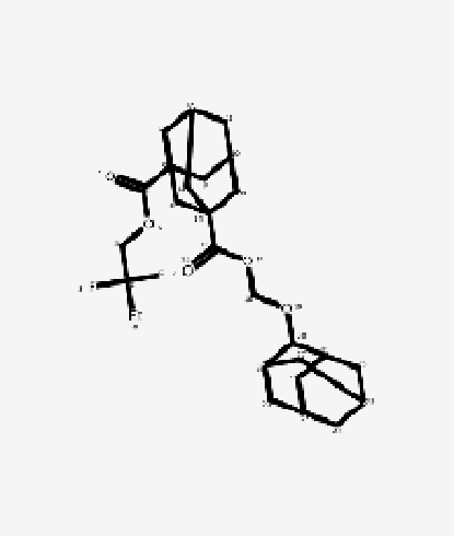 CCC(F)(F)COC(=O)C12CC3CC(CC(C(=O)OCOC4C5CC6CC(C5)CC4C6)(C3)C1)C2